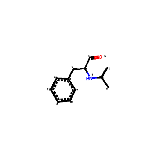 CC(C)N[C@H](C=O)Cc1ccccc1